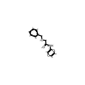 O=C(COCc1ccccc1)NC1=COC=CO1